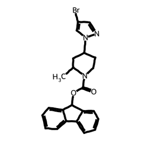 CC1CC(n2cc(Br)cn2)CCN1C(=O)OC1c2ccccc2-c2ccccc21